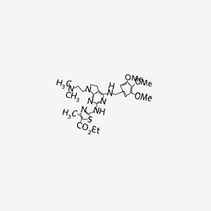 CCOC(=O)c1sc(Nc2nc(NCc3cc(OC)c(OC)c(OC)c3)c3c(n2)N(CCN(C)C)CC3)nc1C